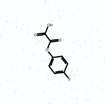 O=C(O)C(=O)Oc1ccc(F)cc1